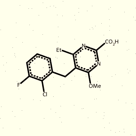 CCc1nc(C(=O)O)nc(OC)c1Cc1cccc(F)c1Cl